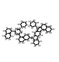 c1ccc(-c2nc(-c3cccc4ccccc34)nc(-c3cccc4cc(-n5c6ccccc6c6cc7c8c9ccccc9ccc8n(-c8ccccc8)c7cc65)ccc34)n2)cc1